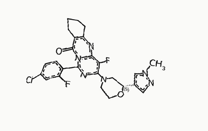 Cn1cc([C@H]2CN(c3nc(-c4ccc(Cl)cc4F)n4c(=O)c5c(nc4c3F)CCCC5)CCO2)cn1